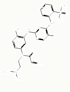 C=CC(=O)N(CCN(C)C)c1ccc(C)c(Nc2ncc(Cl)c(Nc3ccccc3P(C)(C)=O)n2)c1